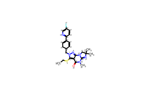 CCSc1c2c(nn1CC1C=CC(c3ccc(F)cn3)=CC1)N1CC(C)(C)N=C1N(C)C2=O